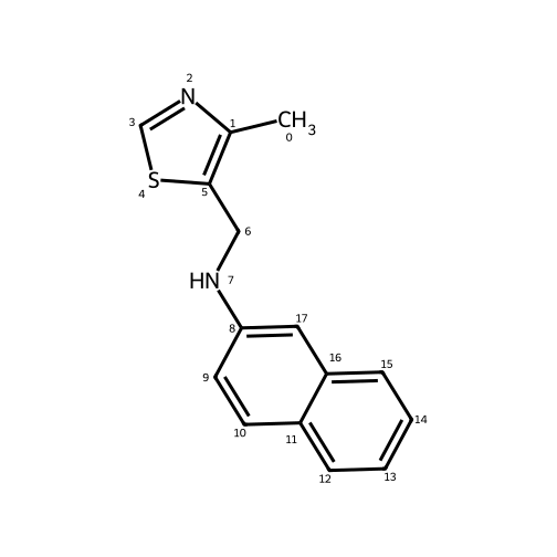 Cc1ncsc1CNc1ccc2ccccc2c1